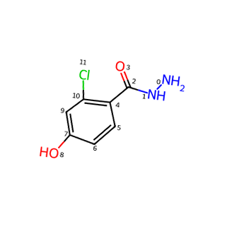 NNC(=O)c1ccc(O)cc1Cl